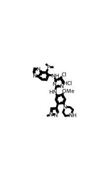 COc1cc(N2CCNCC2)c(-c2cnn(C)c2)cc1Nc1ncc(Cl)c(Nc2ccc3nccnc3c2P(C)C)n1.Cl